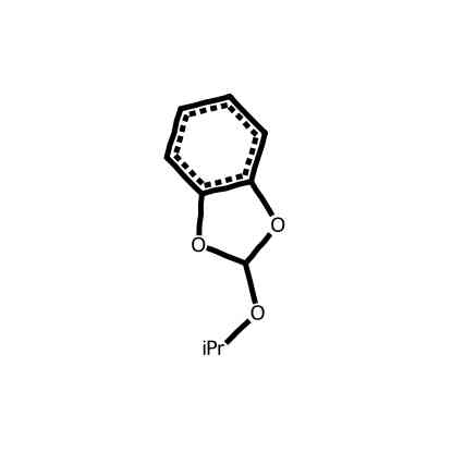 CC(C)OC1Oc2ccccc2O1